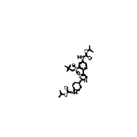 CC(C)OC(=O)Nc1ccc(-c2cnc(C3CCC(NC(=O)OC(C)C)CC3)s2)c(S(=O)(=O)CC(C)(C)C)c1